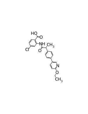 CCOc1ccc(-c2ccc(C(C)C(=O)Nc3cc(Cl)ccc3C(=O)O)cc2)cn1